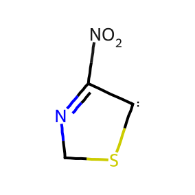 O=[N+]([O-])C1=NCS[C]1